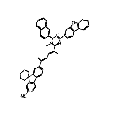 C/C(=C\C=C(/C)c1ccc2c(c1)C1(CCCCC1)c1cc(C#N)ccc1-2)C1=NC(c2ccc3c4c(oc3c2)CCC=C4)=NC(c2ccc3ccccc3c2)N1C